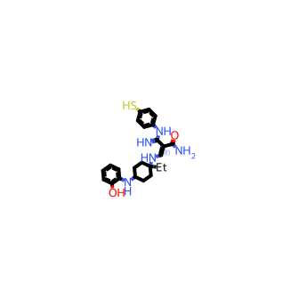 CCC1(N/C=C(\C(=N)Nc2ccc(S)cc2)C(N)=O)CCC(Nc2ccccc2O)CC1